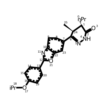 CCC[C@@H]1C(=O)NN=C(c2ccc3nc(-c4ccc(OC(C)C)cc4)oc3c2)[C@H]1C